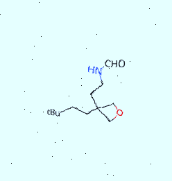 CC(C)(C)CCC1(CCNC=O)COC1